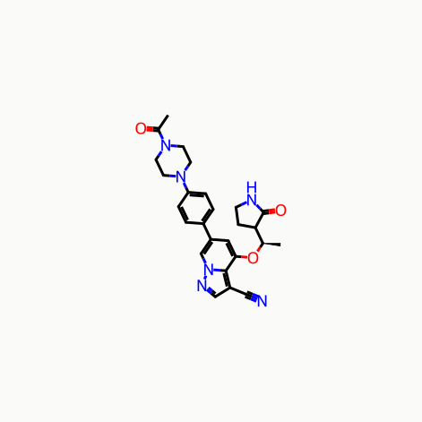 CC(=O)N1CCN(c2ccc(-c3cc(O[C@H](C)C4CCNC4=O)c4c(C#N)cnn4c3)cc2)CC1